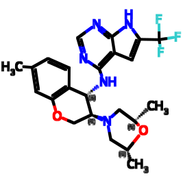 Cc1ccc2c(c1)OC[C@H](N1C[C@@H](C)O[C@@H](C)C1)[C@H]2Nc1ncnc2[nH]c(C(F)(F)F)cc12